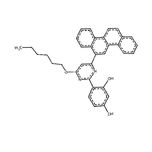 CCCCCCOc1cc(-c2cc3c4ccccc4ccc3c3ccccc23)nc(-c2ccc(O)cc2O)n1